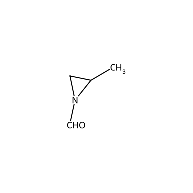 CC1CN1C=O